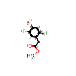 COC(=O)Cc1cc(F)c(Br)cc1Cl